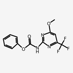 COc1cc(C(F)(F)F)nc(NC(=O)Oc2ccccc2)n1